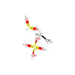 CC.O=S(=O)(O)O.O=S=O